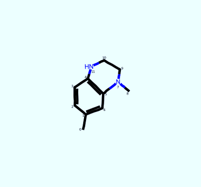 Cc1ccc2c(c1)N(C)CCN2